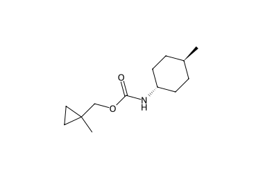 CC1(COC(=O)N[C@H]2CC[C@H](C)CC2)CC1